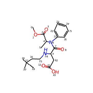 COC(=O)C(C)N(C(=O)C(CC(=O)O)NCCC(C)(C)C)c1ccccc1